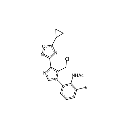 CC(=O)Nc1c(Br)cccc1-n1cnc(-c2noc(C3CC3)n2)c1CCl